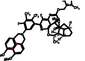 COc1ccc(CN(Cc2ccc(OC)cc2)c2cc(-c3nc4c5c(nc(OC[C@H]6[C@H](C#N)CCN6C)nc5c3F)N3C[C@H]5CC[C@@H]([C@H]3[C@H](C)O4)N5C(=O)OC(C)(C)C)c(C(F)(F)F)c(C)c2F)cc1